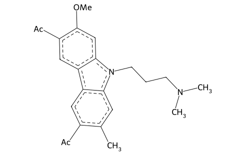 COc1cc2c(cc1C(C)=O)c1cc(C(C)=O)c(C)cc1n2CCCN(C)C